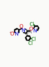 COc1ccc(C(=O)N2C[C@@H]([C@@H](C)Oc3ncccc3Cl)[C@H](c3ccc(Cl)c(Cl)c3)C2)cn1